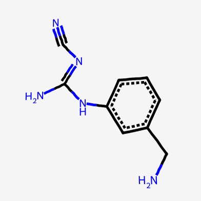 N#CN=C(N)Nc1cccc(CN)c1